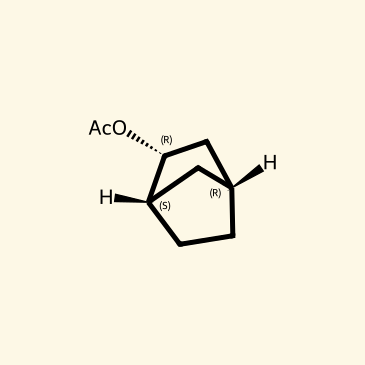 CC(=O)O[C@@H]1C[C@@H]2CC[C@H]1C2